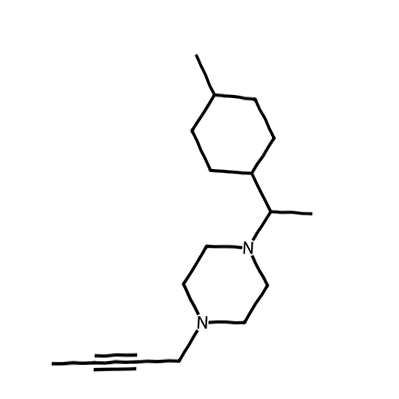 CC#CCN1CCN(C(C)C2CCC(C)CC2)CC1